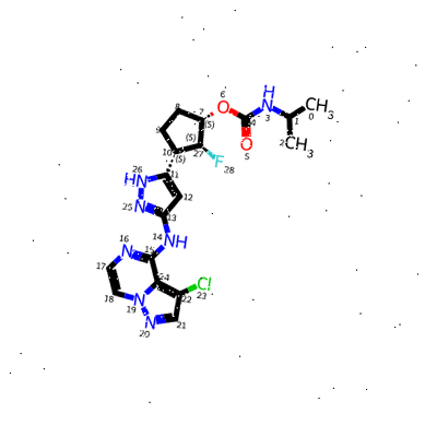 CC(C)NC(=O)O[C@H]1CC[C@@H](c2cc(Nc3nccn4ncc(Cl)c34)n[nH]2)[C@@H]1F